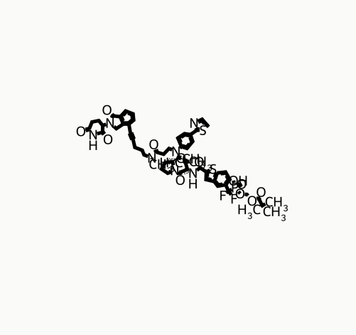 CN(CCCC#Cc1cccc2c1CN(C1CCC(=O)NC1=O)C2=O)C(=O)CCN(C(=O)[C@@H]1CCCN1C(=O)[C@@H](NC(=O)c1cc2cc(C(F)(F)P(=O)(O)OCOC(=O)C(C)(C)C)ccc2s1)C(C)(C)C)c1ccc(-c2nccs2)cc1